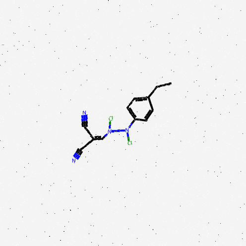 CCc1ccc(N(Cl)N(Cl)C=C(C#N)C#N)cc1